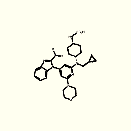 O=C(O)N[C@H]1CC[C@H](N(CC2CC2)c2cc(-n3c(C(F)F)nc4ccccc43)nc(N3CCOCC3)n2)CC1